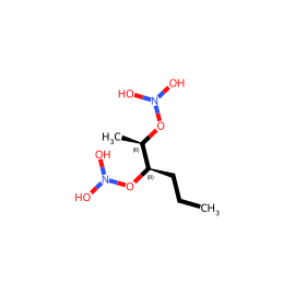 CCC[C@@H](ON(O)O)[C@@H](C)ON(O)O